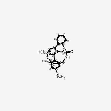 COc1ccc(-c2nc3c4n2CN(C(=O)NCCCCCC3)c2ccccc2-4)c(F)c1.Cl